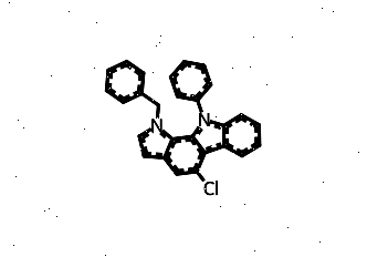 Clc1cc2ccn(Cc3ccccc3)c2c2c1c1ccccc1n2-c1ccccc1